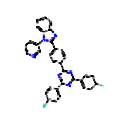 Fc1ccc(-c2nc(C3=CCC(F)C=C3)nc(-c3ccc(-c4nc5ccccc5n4-c4cccnc4)cc3)n2)cc1